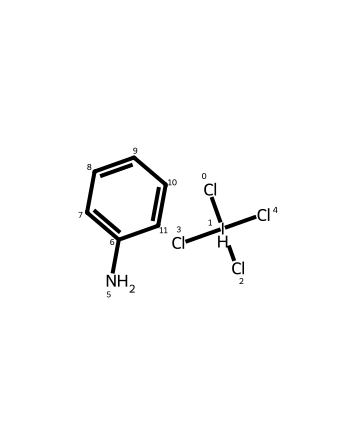 Cl[IH](Cl)(Cl)Cl.Nc1ccccc1